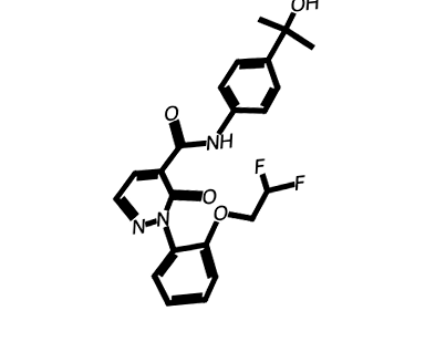 CC(C)(O)c1ccc(NC(=O)c2ccnn(-c3ccccc3OCC(F)F)c2=O)cc1